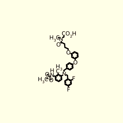 Cc1c(NS(C)(=O)=O)cccc1N(Cc1ccc(Oc2cccc(OCCCC(=O)N(C)CC(=O)O)c2)cc1)Cc1ccc(F)cc1F